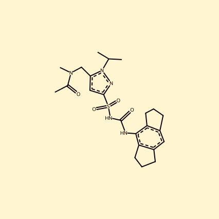 CC(=O)N(C)Cc1cc(S(=O)(=O)NC(=O)Nc2c3c(cc4c2CCC4)CCC3)nn1C(C)C